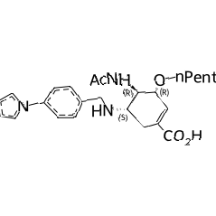 CCCCCO[C@@H]1C=C(C(=O)O)C[C@H](NCc2ccc(-n3cccc3)cc2)[C@H]1NC(C)=O